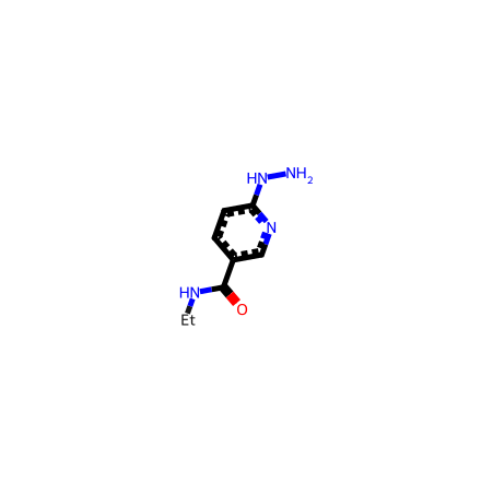 CCNC(=O)c1ccc(NN)nc1